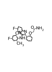 Cc1cc(F)cc(C)c1Nc1c(-c2ccccc2OCC(N)=O)nc2ccc(F)cn12